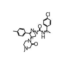 Cc1ccc(C2=NN(C(=O)N[C@H](C)c3ccc(Cl)cc3)C[C@H]2N2CCN(C)CC2=O)cc1